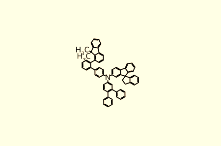 CC1(C)c2ccccc2-c2cccc(-c3ccccc3-c3ccc(N(c4ccc(-c5ccccc5)c(-c5ccccc5)c4)c4ccc5c(c4)C4(CCc6ccccc64)c4ccccc4-5)cc3)c21